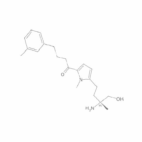 Cc1cccc(CCCC(=O)c2ccc(CC[C@@](C)(N)CO)n2C)c1